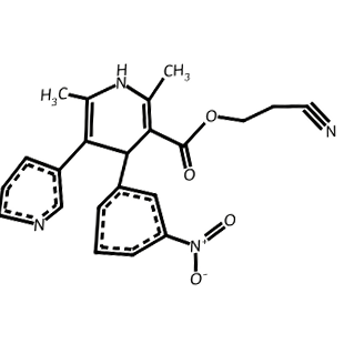 CC1=C(C(=O)OCCC#N)C(c2cccc([N+](=O)[O-])c2)C(c2cccnc2)=C(C)N1